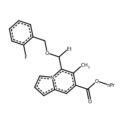 CCCOC(=O)c1cc2cccn2c(C(CC)OCc2ccccc2F)c1C